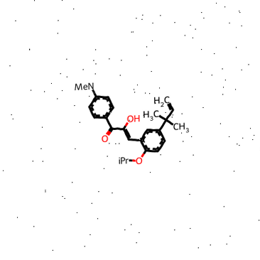 C=CC(C)(C)c1ccc(OC(C)C)c(C=C(O)C(=O)c2ccc(NC)cc2)c1